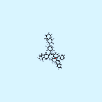 c1ccc(-n2c3ccccc3c3ccccc32)c(-c2ccc(N(c3ccc(-c4ccc5ccccc5c4)cc3)c3ccc4c(c3)oc3ccccc34)cc2)c1